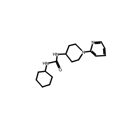 O=C(NC1CC[CH]CC1)NC1CCN(c2ccccn2)CC1